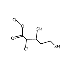 O=C(OCl)C(Cl)C(S)CCS